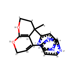 CC1(c2ccncn2)CCOC2=C1C(c1ccncn1)=CCO2